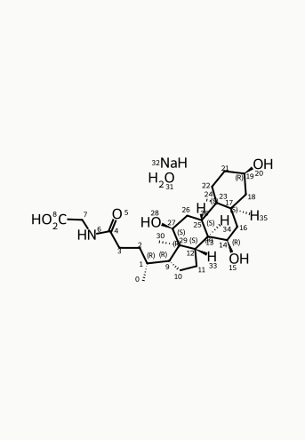 C[C@H](CCC(=O)NCC(=O)O)[C@H]1CC[C@H]2[C@@H]3[C@H](O)C[C@@H]4C[C@H](O)CC[C@]4(C)[C@H]3C[C@H](O)[C@]12C.O.[NaH]